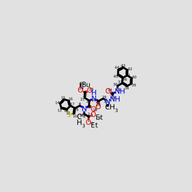 CCOC(OCC)[C@H](C)N(Cc1csc2ccccc12)C(=O)C(CC(=O)OC(C)(C)C)NC(=O)CN(C)NC(=O)NCc1cccc2ccccc12